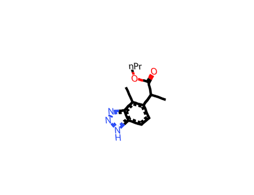 CCCOC(=O)C(C)c1ccc2[nH]nnc2c1C